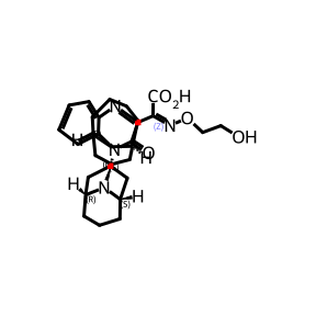 O=C(O)/C(=N\OCCO)c1nc2ccccc2n([C@H]2C[C@H]3CCC[C@@H](C2)N3[C@@H]2C[C@@H]3CCCC[C@@H](C3)C2)c1=O